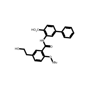 CCCCOc1ccc(CCO)cc1C(=O)Nc1cc(-c2ccccc2)ccc1C(=O)O